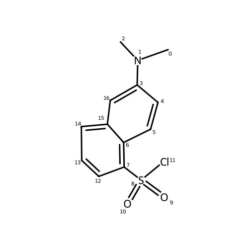 CN(C)c1ccc2c(S(=O)(=O)Cl)cccc2c1